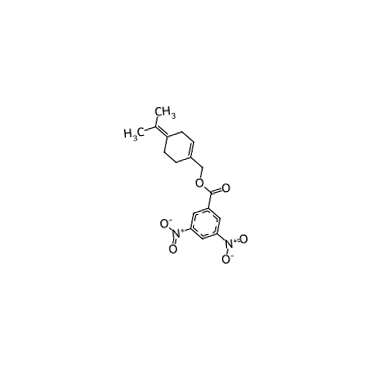 CC(C)=C1CC=C(COC(=O)c2cc([N+](=O)[O-])cc([N+](=O)[O-])c2)CC1